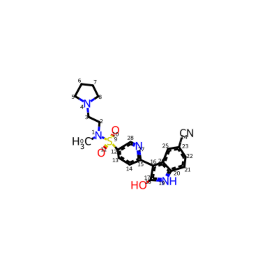 CN(CCN1CCCC1)S(=O)(=O)c1ccc(-c2c(O)[nH]c3ccc(C#N)cc23)nc1